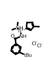 CC1=CC[C]([Ti+2]([NH]C(=O)c2cccc(C(C)(C)C)c2)[SiH](C)C)=C1.[Cl-].[Cl-]